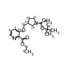 CCOC(=O)c1ncccc1OCC1CCN(C(=O)OC(C)(C)C)C1